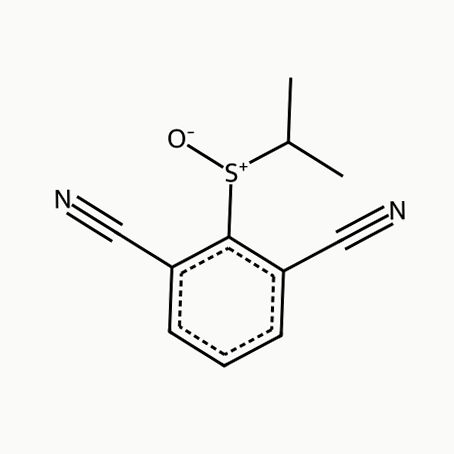 CC(C)[S+]([O-])c1c(C#N)cccc1C#N